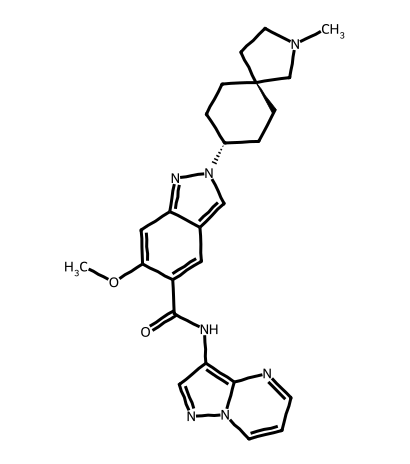 COc1cc2nn([C@H]3CC[C@]4(CCN(C)C4)CC3)cc2cc1C(=O)Nc1cnn2cccnc12